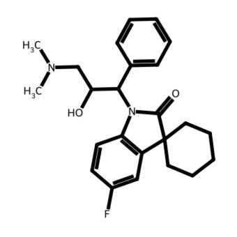 CN(C)CC(O)C(c1ccccc1)N1C(=O)C2(CCCCC2)c2cc(F)ccc21